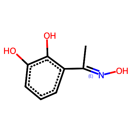 C/C(=N\O)c1cccc(O)c1O